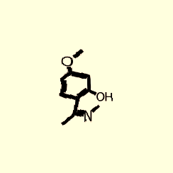 C/N=C(/C)c1ccc(OC)cc1O